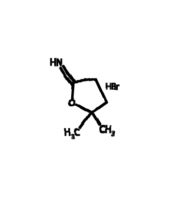 Br.CC1(C)CCC(=N)O1